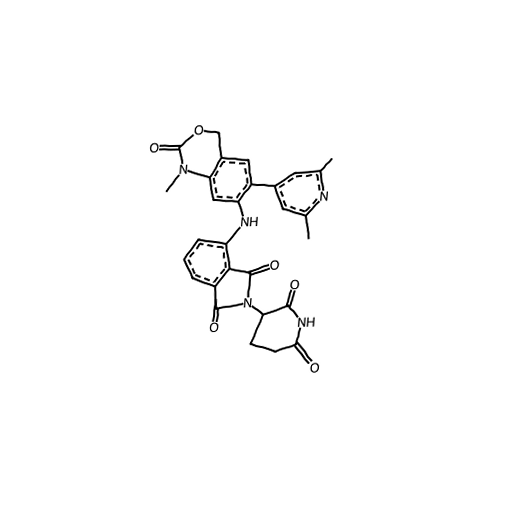 Cc1cc(-c2cc3c(cc2Nc2cccc4c2C(=O)N(C2CCC(=O)NC2=O)C4=O)N(C)C(=O)OC3)cc(C)n1